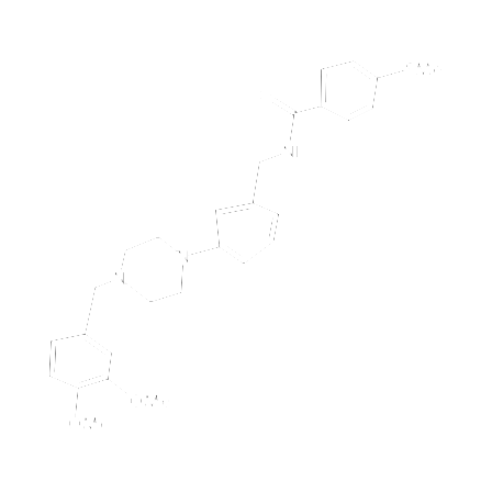 COc1ccc(CN2CCN(c3cccc(CNC(=O)c4ccc(SC)cc4)c3)CC2)cc1OC